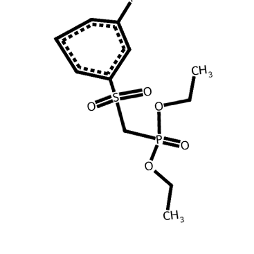 CCOP(=O)(CS(=O)(=O)c1cccc(F)c1)OCC